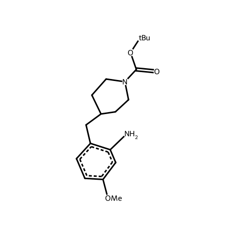 COc1ccc(CC2CCN(C(=O)OC(C)(C)C)CC2)c(N)c1